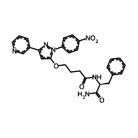 NC(=O)[C@H](Cc1ccccc1)NC(=O)CCCOc1cc(-c2cccnc2)nn1-c1ccc([N+](=O)[O-])cc1